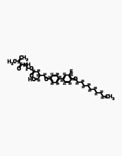 C=C(C)C(=O)NCOC(=O)CC(CO)COc1ccc(-c2ccc(OCCCCCCCCCC)c(F)c2)cc1